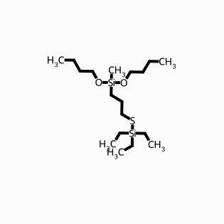 CCCCO[Si](C)(CCCS[Si](CC)(CC)CC)OCCCC